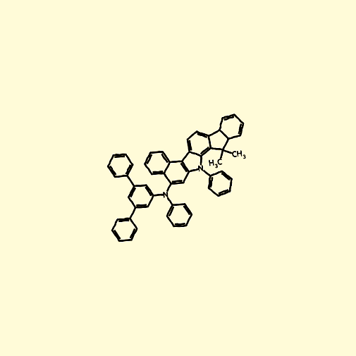 CC1(C)c2c(ccc3c4c5ccccc5c(N(c5ccccc5)c5cc(-c6ccccc6)cc(-c6ccccc6)c5)cc4n(-c4ccccc4)c23)C2C=CC=CC21